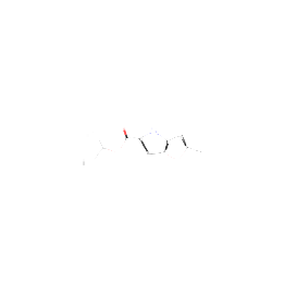 Cc1cc2[nH]c(C(=O)OC(C(C)C)C(C)C)cc2o1